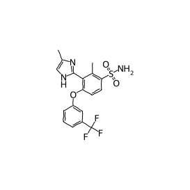 Cc1c[nH]c(-c2c(Oc3cccc(C(F)(F)F)c3)ccc(S(N)(=O)=O)c2C)n1